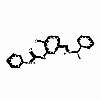 C[C@@H](NCc1ccc(Cl)c(NC(=O)Nc2ccccc2)c1)c1ccccc1